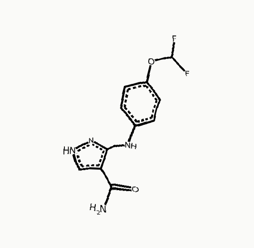 NC(=O)c1c[nH]nc1Nc1ccc(OC(F)F)cc1